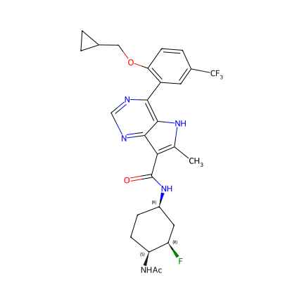 CC(=O)N[C@H]1CC[C@@H](NC(=O)c2c(C)[nH]c3c(-c4cc(C(F)(F)F)ccc4OCC4CC4)ncnc23)C[C@H]1F